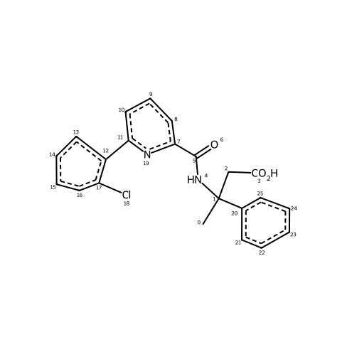 CC(CC(=O)O)(NC(=O)c1cccc(-c2ccccc2Cl)n1)c1ccccc1